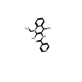 CCN1C(O)=C(NC(=O)c2ccncc2)C(O)c2ccccc21